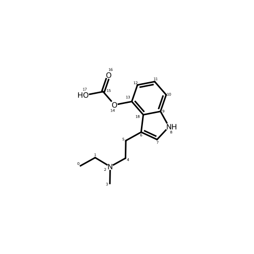 CCN(C)CCc1c[nH]c2cccc(OC(=O)O)c12